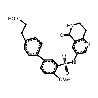 COc1ccc(-c2ccc(CCC(=O)O)cc2)cc1S(=O)(=O)Nc1cnc2c(c1)C(=O)NCC2